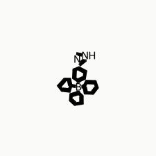 c1c[nH]cn1.c1ccc([B-](c2ccccc2)(c2ccccc2)c2ccccc2)cc1